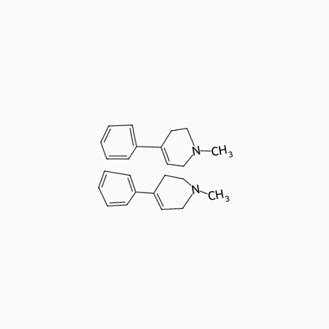 CN1CC=C(c2ccccc2)CC1.CN1CC=C(c2ccccc2)CC1